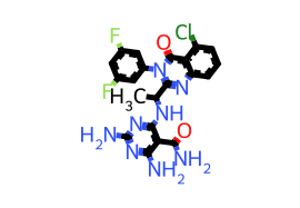 CC(Nc1nc(N)nc(N)c1C(N)=O)c1nc2cccc(Cl)c2c(=O)n1-c1cc(F)cc(F)c1